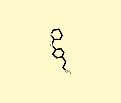 CCCC1CCC(OC2CCCCO2)CC1